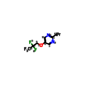 CC(C)c1ncc(OCC(F)(F)C(F)(F)F)cn1